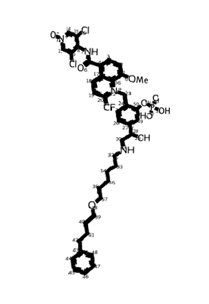 COc1ccc(C(=O)Nc2c(Cl)c[n+]([O-])cc2Cl)c2ccc(C(F)(F)F)[n+](Cc3ccc(C(O)CNCCCCCCOCCCCc4ccccc4)cc3OP(=O)(O)O)c12